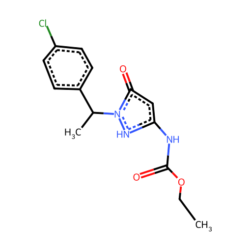 CCOC(=O)Nc1cc(=O)n(C(C)c2ccc(Cl)cc2)[nH]1